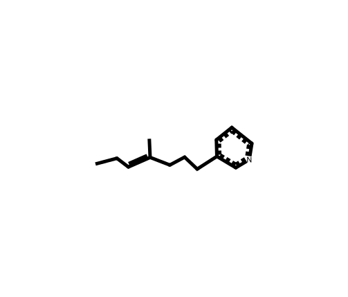 CC/C=C(\C)CCCc1cccnc1